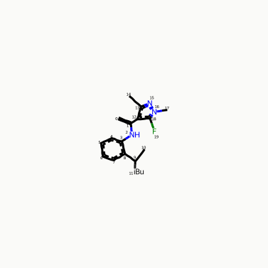 C=C(Nc1ccccc1C(C)C(C)CC)c1c(C)nn(C)c1F